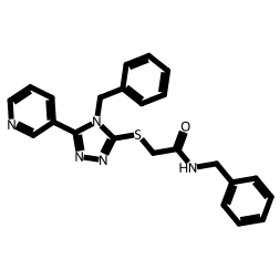 O=C(CSc1nnc(-c2cccnc2)n1Cc1ccccc1)NCc1ccccc1